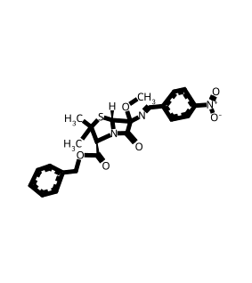 COC1(/N=C/c2ccc([N+](=O)[O-])cc2)C(=O)N2[C@@H](C(=O)OCc3ccccc3)C(C)(C)S[C@@H]21